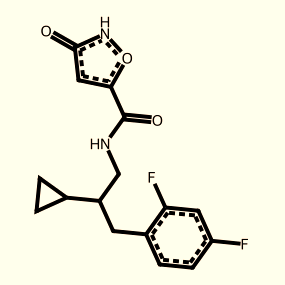 O=C(NCC(Cc1ccc(F)cc1F)C1CC1)c1cc(=O)[nH]o1